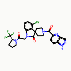 O=C(c1ccc2[nH]ncc2n1)N1CCC2(CC1)C(=O)N(CC(=O)N1CCC[C@H]1C(F)(F)F)c1cccc(Br)c12